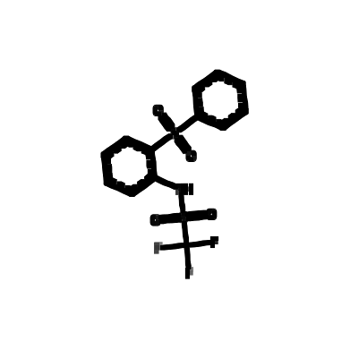 O=S(=O)(c1ccccc1)c1ccccc1NS(=O)(=O)C(F)(F)F